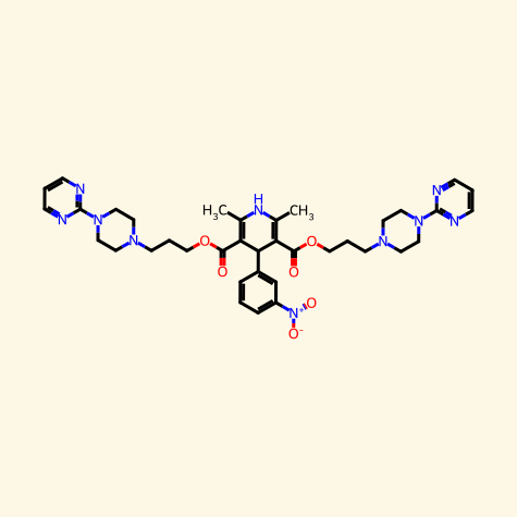 CC1=C(C(=O)OCCCN2CCN(c3ncccn3)CC2)C(c2cccc([N+](=O)[O-])c2)C(C(=O)OCCCN2CCN(c3ncccn3)CC2)=C(C)N1